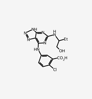 CCC(CO)Nc1nc(Nc2ccc(Cl)c(C(=O)O)c2)c2nn[nH]c2n1